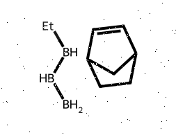 BBBCC.C1=CC2CCC1C2